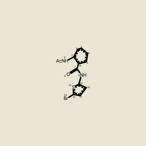 CC(=O)Nc1ccccc1C(=O)Nc1ccc(Br)s1